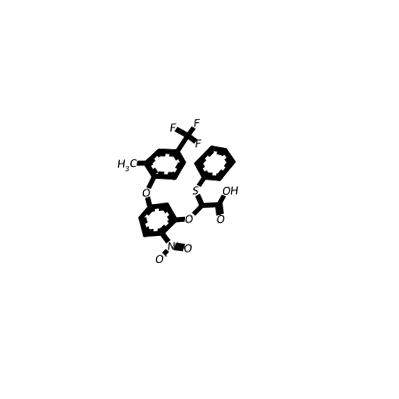 Cc1cc(C(F)(F)F)ccc1Oc1ccc([N+](=O)[O-])c(OC(Sc2ccccc2)C(=O)O)c1